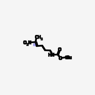 C/C(=C\CCCNC(=O)OC(C)(C)C)[N+](=O)[O-]